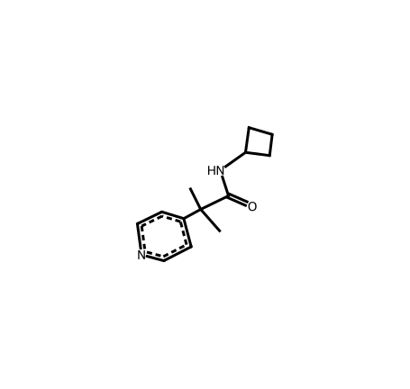 CC(C)(C(=O)NC1CCC1)c1ccncc1